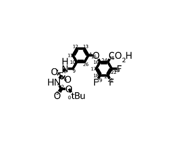 CC(C)(C)OC(=O)NS(=O)(=O)NCc1cccc(Oc2cc(F)c(F)c(F)c2C(=O)O)c1